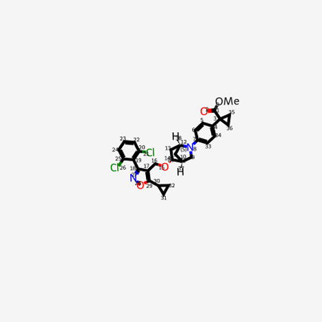 COC(=O)C1(c2ccc(N3C[C@@H]4C[C@H]3C[C@H]4OCc3c(-c4c(Cl)cccc4Cl)noc3C3CC3)cc2)CC1